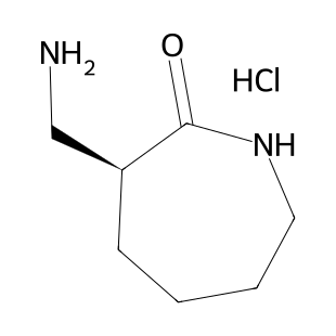 Cl.NC[C@@H]1CCCCNC1=O